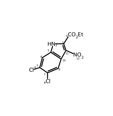 CCOC(=O)c1[nH]c2cc(Cl)c(Cl)cc2c1[N+](=O)[O-]